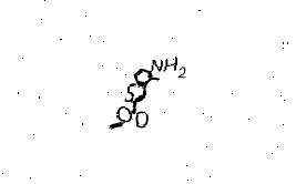 CCOC(=O)c1cc2c(C)c(N)ccc2s1